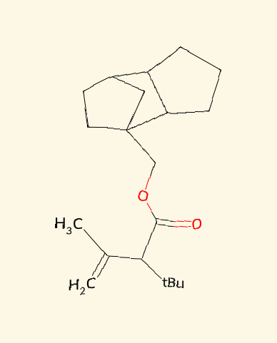 C=C(C)C(C(=O)OCC12CCC(C1)C1CCCC12)C(C)(C)C